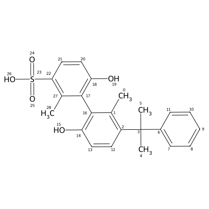 Cc1c(C(C)(C)c2ccccc2)ccc(O)c1-c1c(O)ccc(S(=O)(=O)O)c1C